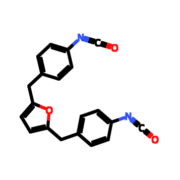 O=C=Nc1ccc(Cc2ccc(Cc3ccc(N=C=O)cc3)o2)cc1